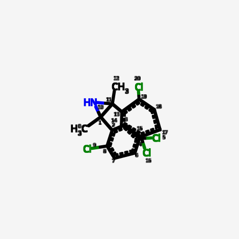 CC1(c2cc(Cl)ccc2Cl)NC1(C)c1cc(Cl)ccc1Cl